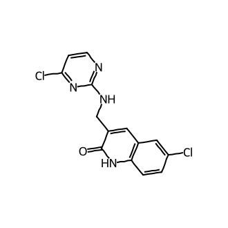 O=c1[nH]c2ccc(Cl)cc2cc1CNc1nccc(Cl)n1